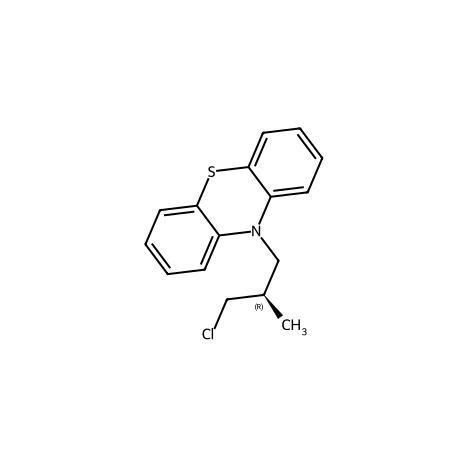 C[C@@H](CCl)CN1c2ccccc2Sc2ccccc21